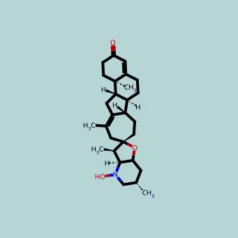 CC1=C2C[C@H]3[C@@H](CCC4=CC(=O)CC[C@@]43C)[C@@H]2CC[C@@]2(C1)OC1C[C@H](C)CN(O)[C@H]1[C@H]2C